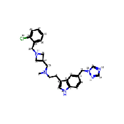 CN(CCc1c[nH]c2ccc(Cn3cncn3)cc12)CC1CN(Cc2ccccc2Cl)C1